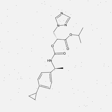 CC(C)OC(=O)[C@@H](Cn1cncn1)OC(=O)N[C@@H](C)c1ccc(C2CC2)cc1